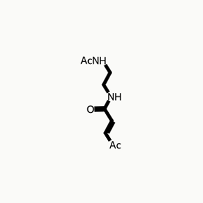 CC(=O)C=CC(=O)NCCNC(C)=O